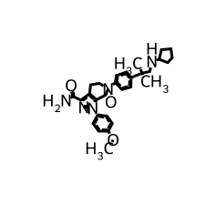 COc1ccc(-n2nc(C(N)=O)c3c2C(=O)N(c2ccc(C(C)(C)CNC4CCCC4)cc2)CC3)cc1